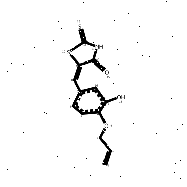 C=CCOc1ccc(/C=C2/SC(=S)NC2=O)cc1O